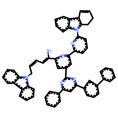 N/C(=C\C=C/Cn1c2ccccc2c2ccccc21)c1cc(-c2nc(-c3ccccc3)cc(-c3cccc(-c4ccccc4)c3)n2)cc(-c2cccc(-n3c4c(c5ccccc53)C=CCC4)n2)n1